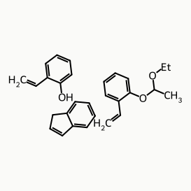 C1=Cc2ccccc2C1.C=Cc1ccccc1O.C=Cc1ccccc1OC(C)OCC